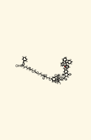 Cc1cc(OCCCC(=O)NCCCOCCOCCOCCCN(C=O)OCc2ccccc2)cc(C)c1S(=O)(=O)NC(CNC(=O)C1CC(=O)c2ccc(CNc3nccn3C(c3ccccc3)(c3ccccc3)c3ccccc3)cc2N1C)C(=O)O